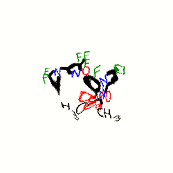 COCC(COC)N(C(=O)c1ccc(Cl)cn1)c1cc(F)c(Oc2ncc(CN3CCCC(F)(F)C3)cc2C(F)(F)F)cc1C(=O)O